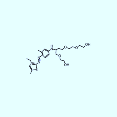 CC[n+]1cc(C)sc1/N=N/c1ccc(NC(CCOCCOCCO)COCCO)cc1C